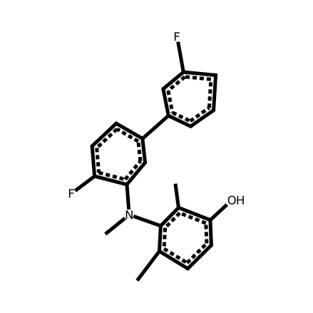 Cc1ccc(O)c(C)c1N(C)c1cc(-c2cccc(F)c2)ccc1F